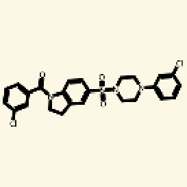 O=C(c1cccc(Cl)c1)N1CCc2cc(S(=O)(=O)N3CCN(c4cccc(Cl)c4)CC3)ccc21